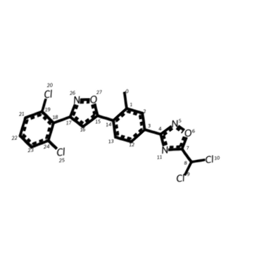 Cc1cc(-c2noc(C(Cl)Cl)n2)ccc1-c1cc(-c2c(Cl)cccc2Cl)no1